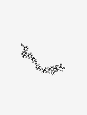 Cc1nn(C2CCC(=O)NC2=O)c(=O)c2ccc(N3CCN(C(=O)CCN4CCC(COc5cnc(-c6cccc(Cn7nc(-c8cccc(C#N)c8)ccc7=O)c6)nc5)CC4)CC3)cc12